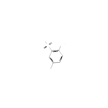 COc1ccc(C)cc1S(=O)(=O)C(C)(C)C